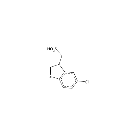 O=S(=O)(O)CC1CSc2ccc(Cl)cc21